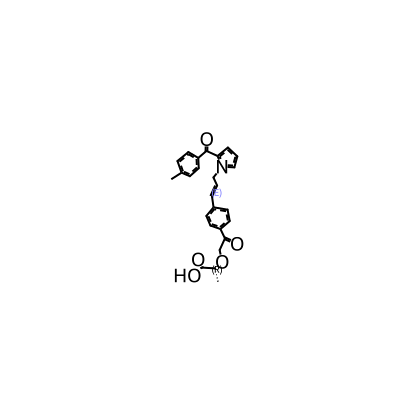 Cc1ccc(C(=O)c2cccn2C/C=C/c2ccc(C(=O)CO[C@H](C)C(=O)O)cc2)cc1